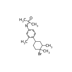 Cc1cc(N=S(C)(C)=O)ccc1C1CCC(C)(Br)C(C)C1